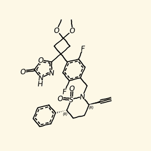 C#C[C@H]1CC[C@H](c2ccccc2)S(=O)(=O)N1Cc1cc(F)c(C2(c3n[nH]c(=O)o3)CC(OC)(OC)C2)cc1F